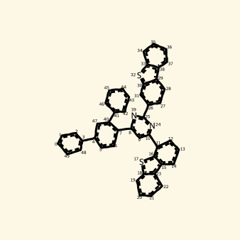 c1ccc(-c2ccc(-c3cc(-c4cccc5c4sc4ccccc45)nc(-c4ccc5c(c4)sc4ccccc45)n3)c(-c3ccccc3)c2)cc1